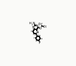 CCC(CC)Oc1nc(N)nc2ccc(-c3ccc(F)cc3)nc12